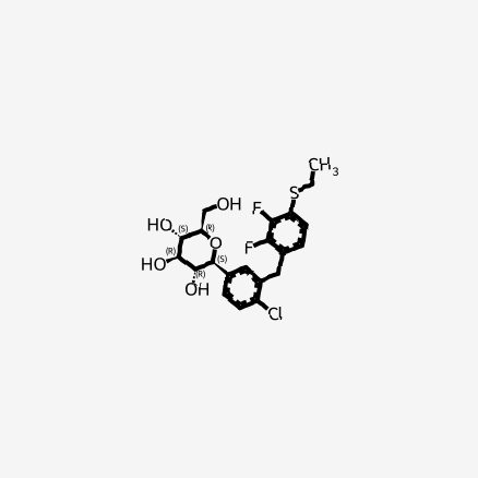 CCSc1ccc(Cc2cc([C@@H]3O[C@H](CO)[C@@H](O)[C@H](O)[C@H]3O)ccc2Cl)c(F)c1F